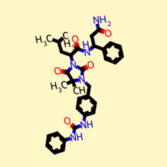 CC(C)CC(C(=O)NC(CC(N)=O)c1ccccc1)N1C(=O)N(Cc2ccc(NC(=O)Nc3ccccc3)cc2)C(C)(C)C1=O